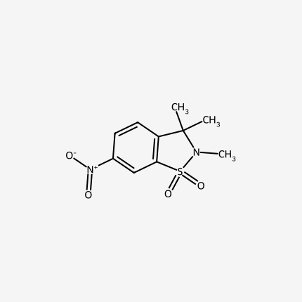 CN1C(C)(C)c2ccc([N+](=O)[O-])cc2S1(=O)=O